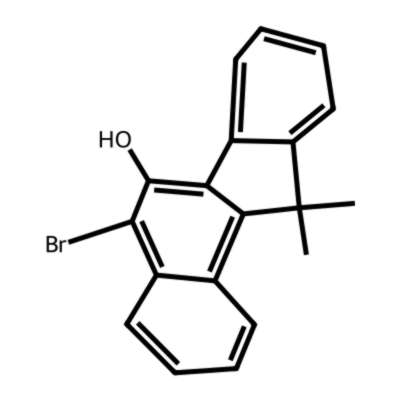 CC1(C)c2ccccc2-c2c(O)c(Br)c3ccccc3c21